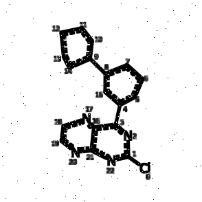 Clc1nc(-c2cccc(-c3ccccc3)c2)c2nccnc2n1